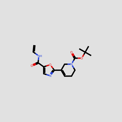 C=CNC(=O)c1cnc(C2=CCCN(C(=O)OC(C)(C)C)C2)o1